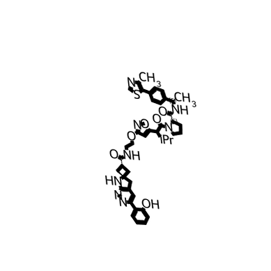 Cc1ncsc1-c1ccc([C@H](C)NC(=O)[C@@H]2CCCN2C(=O)C(c2cc(OCCNC(=O)[C@H]3C[C@]4(Cc5cc(-c6ccccc6O)nnc5N4)C3)no2)C(C)C)cc1